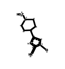 CCn1cc(C2CCN(C(=O)O)CC2)sc1=N